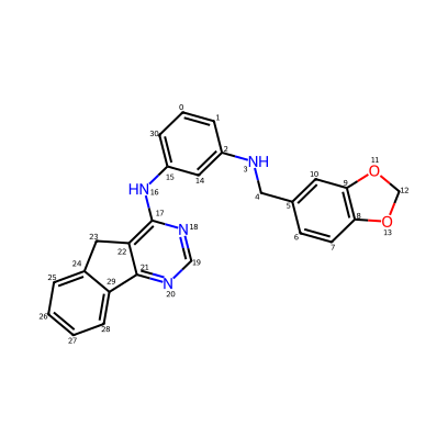 c1cc(NCc2ccc3c(c2)OCO3)cc(Nc2ncnc3c2Cc2ccccc2-3)c1